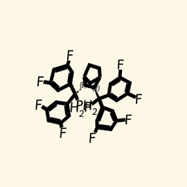 Fc1cc(F)cc(C(P)(c2cc(F)cc(F)c2)[C@@H]2C3CCC(C3)[C@H]2C(P)(c2cc(F)cc(F)c2)c2cc(F)cc(F)c2)c1